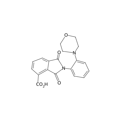 O=C(O)c1cccc2c1C(=O)N(c1ccccc1N1CCOCC1)C2=O